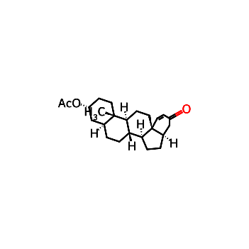 CC(=O)O[C@@H]1CC[C@@]2(C)[C@@H](CC[C@@H]3[C@@H]2CC[C@@]24C=CC(=O)C[C@H]2CC[C@@H]34)C1